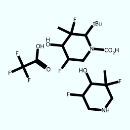 CC(C)(C)C1N(C(=O)O)CC(F)C(O)C1(C)F.CC1(F)CNCC(F)C1O.O=C(O)C(F)(F)F